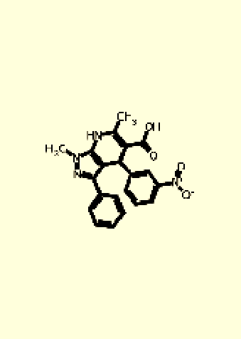 CC1=C(C(=O)O)C(c2cccc([N+](=O)[O-])c2)c2c(-c3ccccc3)nn(C)c2N1